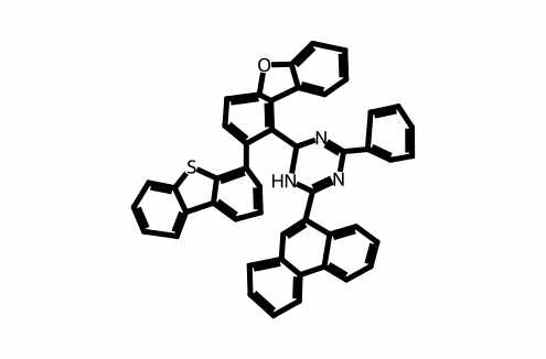 c1ccc(C2=NC(c3c(-c4cccc5c4sc4ccccc45)ccc4oc5ccccc5c34)NC(c3cc4ccccc4c4ccccc34)=N2)cc1